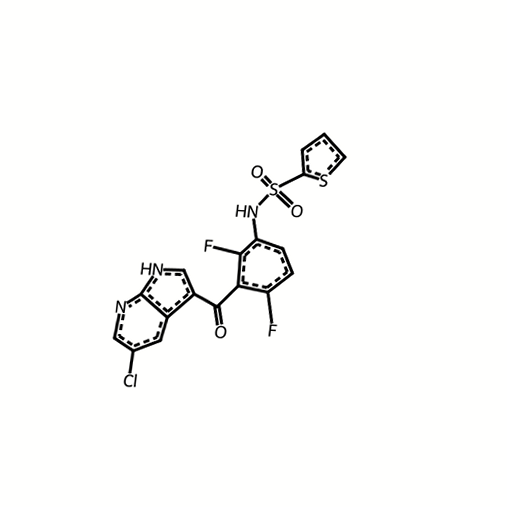 O=C(c1c(F)ccc(NS(=O)(=O)c2cccs2)c1F)c1c[nH]c2ncc(Cl)cc12